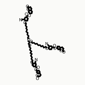 N#Cc1cc(C(=O)Oc2ccc3ccc(=O)oc3c2)ccc1OCCCCCCCCCCOCC(COCCCCCCCCCCOc1ccc(C(=O)Oc2ccc3ccc(=O)oc3c2)cc1C#N)OCCCCCCCCCCOc1ccc(C(=O)Oc2ccc3ccc(=O)oc3c2)cc1C#N